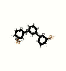 Brc1cccc(-c2cccc(-c3cccc(Br)c3)c2)c1